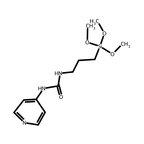 CO[Si](CCCNC(=O)Nc1ccncc1)(OC)OC